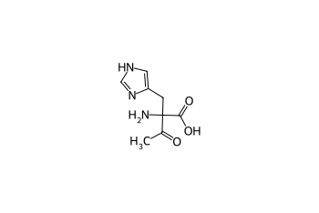 CC(=O)C(N)(Cc1c[nH]cn1)C(=O)O